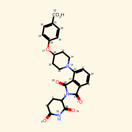 O=C1CCC(N2C(=O)c3cccc(N4CCC(Oc5ccc(C(=O)O)cc5)CC4)c3C2=O)C(=O)N1